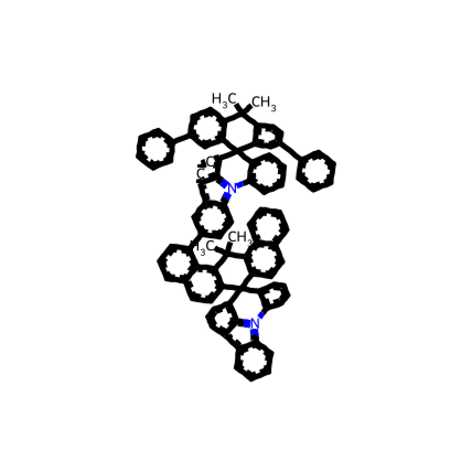 CC1(C)c2ccc(-c3ccccc3)cc2C2(c3ccccc3-n3c4ccc(-c5cccc6ccc7c(c56)C(C)(C)c5c(ccc6ccccc56)C75c6ccccc6-n6c7ccccc7c7cccc5c76)cc4c4cccc2c43)c2cc(-c3ccccc3)ccc21